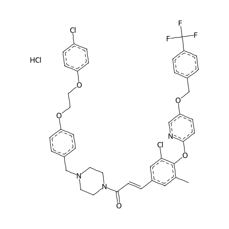 Cc1cc(C=CC(=O)N2CCN(Cc3ccc(OCCOc4ccc(Cl)cc4)cc3)CC2)cc(Cl)c1Oc1ccc(OCc2ccc(C(F)(F)F)cc2)cn1.Cl